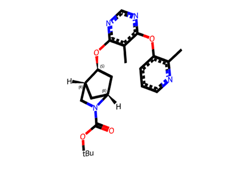 Cc1ncccc1Oc1ncnc(O[C@H]2C[C@H]3C[C@@H]2CN3C(=O)OC(C)(C)C)c1C